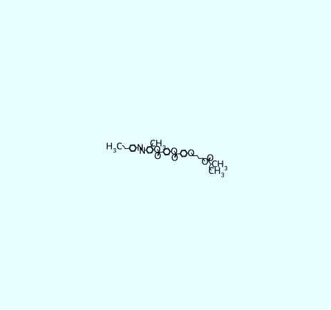 CCCc1ccc(N=Nc2ccc(OC(=O)c3ccc(OC(=O)c4ccc(OCCCCOC(=O)C(C)CC)cc4)cc3)c(C)c2)cc1